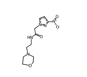 O=C(Cn1ccc([N+](=O)[O-])n1)NCCN1CCOCC1